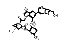 CC(=O)c1cn(CC(=O)N2C3C[C@]3(C)C[C@H]2C(=O)Nc2nc(C(F)(F)F)ccc2C)c2c(C)cc(-c3cnc4cc(CO)nn4c3)cc12